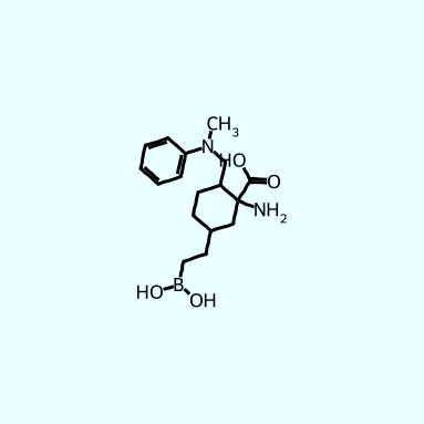 CN(CC1CCC(CCB(O)O)CC1(N)C(=O)O)c1ccccc1